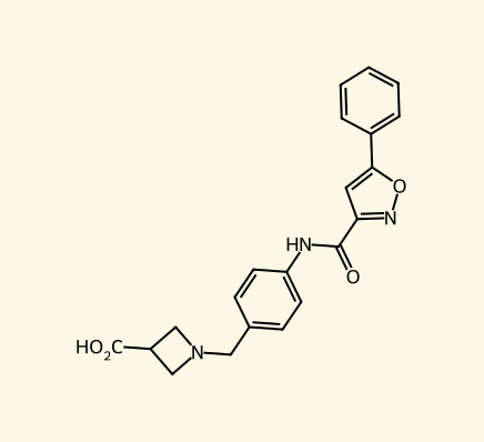 O=C(Nc1ccc(CN2CC(C(=O)O)C2)cc1)c1cc(-c2ccccc2)on1